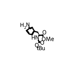 COC(=O)[C@H](Cc1cccc(N)c1)NC(=O)OC(C)(C)C